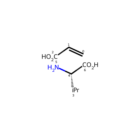 C=CC(=O)O.CC(C)[C@H](N)C(=O)O